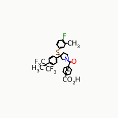 Cc1cc(S[C@@]2(c3ccc(C(C)(C(F)(F)F)C(F)(F)F)cc3)CCN(C(=O)C34CCC(C(=O)O)(CC3)CC4)C2)ccc1F